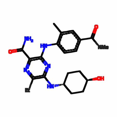 CCc1nc(C(N)=O)c(Nc2ccc(C(=O)NC)cc2C)nc1N[C@H]1CC[C@H](O)CC1